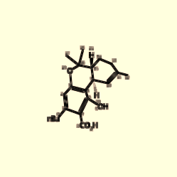 CCCCc1cc2c(c(O)c1C(=O)O)[C@@H]1C=C(C)CC[C@H]1C(C)(C)O2